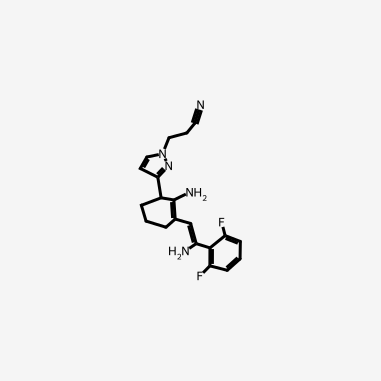 N#CCCn1ccc(C2CCCC(/C=C(\N)c3c(F)cccc3F)=C2N)n1